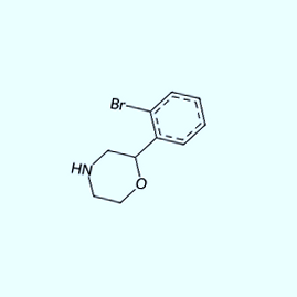 Brc1ccccc1C1CNCCO1